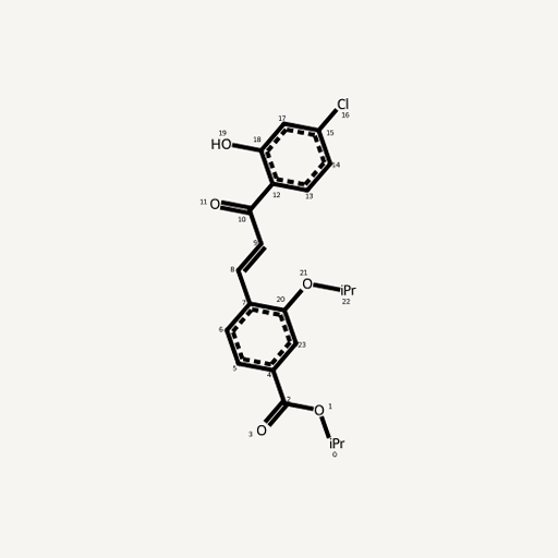 CC(C)OC(=O)c1ccc(C=CC(=O)c2ccc(Cl)cc2O)c(OC(C)C)c1